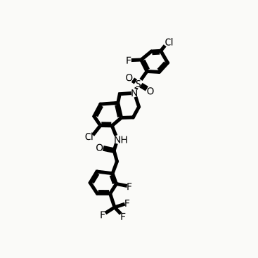 O=C(Cc1cccc(C(F)(F)F)c1F)Nc1c(Cl)ccc2c1CCN(S(=O)(=O)c1ccc(Cl)cc1F)C2